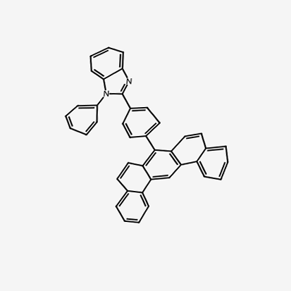 c1ccc(-n2c(-c3ccc(-c4c5ccc6ccccc6c5cc5c4ccc4ccccc45)cc3)nc3ccccc32)cc1